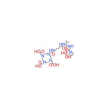 CC(C)[C@H](NC(=O)CCCCNC(=O)CN1CCN(CC(=O)O)CCN(CC(=O)O)CCN(CC(=O)O)CC1)C(=O)N[C@H](C)C(=O)N1CCC[C@H]1B(O)O